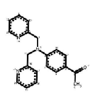 CC(=O)c1ccc(N(Cc2ccccn2)Cc2ccccn2)cc1